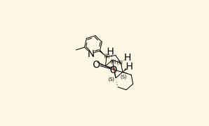 Cc1cccc([C@H]2C[C@@H]3[C@H]4C(=O)C[C@]5(CCCC[C@@H]35)OC24C)n1